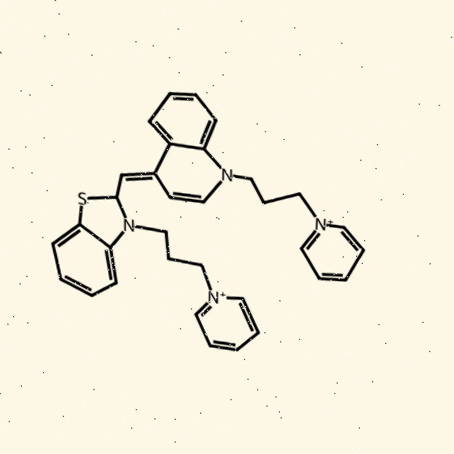 C1=CN(CCC[n+]2ccccc2)c2ccccc2C1=CC1Sc2ccccc2N1CCC[n+]1ccccc1